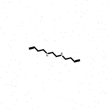 C=CCCPCCPCCC=C